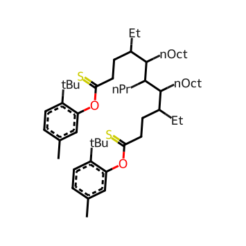 CCCCCCCCC(C(CC)CCC(=S)Oc1cc(C)ccc1C(C)(C)C)C(CCC)C(CCCCCCCC)C(CC)CCC(=S)Oc1cc(C)ccc1C(C)(C)C